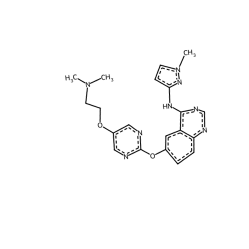 CN(C)CCOc1cnc(Oc2ccc3ncnc(Nc4ccn(C)n4)c3c2)nc1